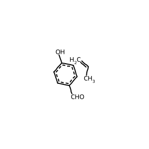 C=CC.O=Cc1ccc(O)cc1